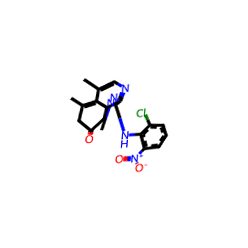 CC1=CN=C2N=C(Nc3c(Cl)cccc3[N+](=O)[O-])N(C)C23CC(=O)CC(C)=C13